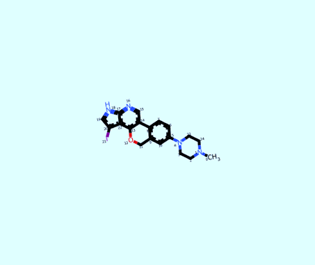 CN1CCN(c2ccc3c(c2)COc2c-3cnc3[nH]cc(I)c23)CC1